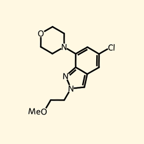 COCCn1cc2cc(Cl)cc(N3CCOCC3)c2n1